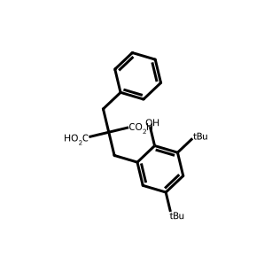 CC(C)(C)c1cc(CC(Cc2ccccc2)(C(=O)O)C(=O)O)c(O)c(C(C)(C)C)c1